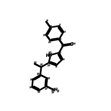 Cc1ccc(C(=O)c2ccc(C(C)c3cccc(N)c3)[nH]2)cc1